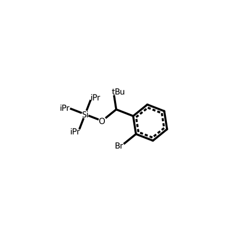 CC(C)[Si](OC(c1ccccc1Br)C(C)(C)C)(C(C)C)C(C)C